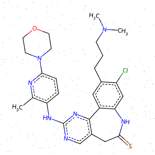 Cc1nc(N2CCOCC2)ccc1Nc1ncc2c(n1)-c1cc(CCCN(C)C)c(Cl)cc1NC(=S)C2